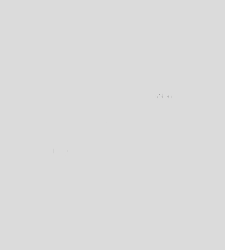 CCCCCCCCCCCCOc1ccc(CC(=O)O)cc1